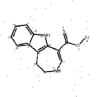 CCOC(=S)C1=CNCCc2c1[nH]c1ccccc21